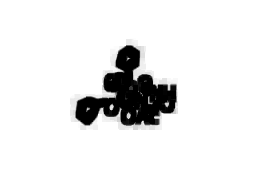 CC(=O)O[C@H]1[C@H](n2ccc(=O)[nH]c2=O)O[C@](CC(F)(F)F)(OCc2ccccc2)[C@H]1OCc1ccccc1